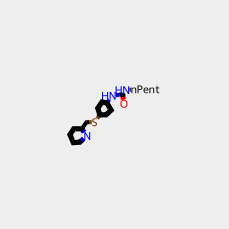 CCCCCNC(=O)Nc1ccc(SCc2ccccn2)cc1